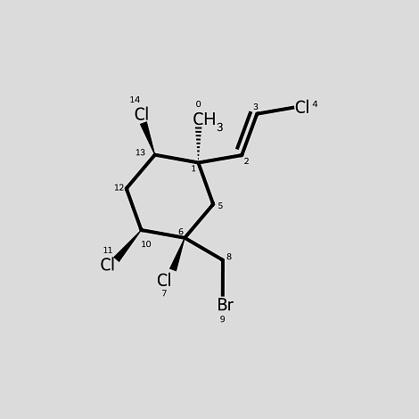 C[C@]1(/C=C/Cl)C[C@](Cl)(CBr)[C@@H](Cl)C[C@H]1Cl